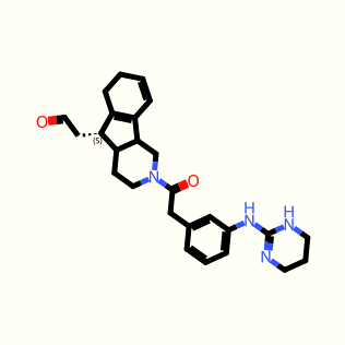 O=CC[C@@H]1C2=C(C=CCC2)C2CN(C(=O)Cc3cccc(NC4=NCCCN4)c3)CCC21